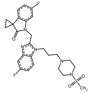 CS(=O)(=O)N1CCN(CCCn2c(CN3C(=O)C4(CC4)c4ccc(F)cc43)nc3cc(F)ccc32)CC1